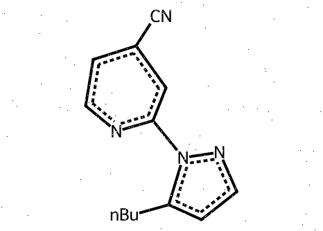 CCCCc1ccnn1-c1cc(C#N)ccn1